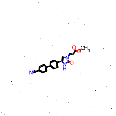 COC(=O)CCn1cc(-c2ccc(-c3ccc(C#N)cc3)cc2)[nH]c1=O